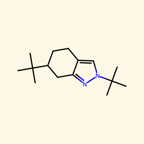 CC(C)(C)C1CCc2cn(C(C)(C)C)nc2C1